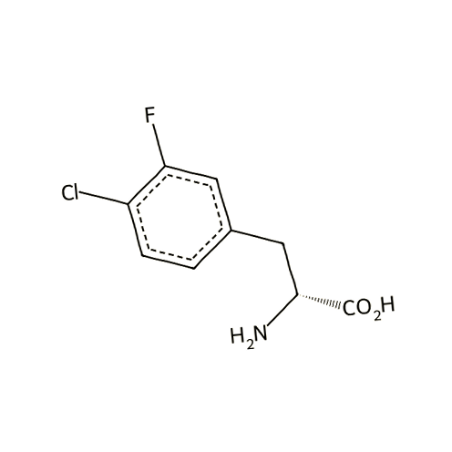 N[C@H](Cc1ccc(Cl)c(F)c1)C(=O)O